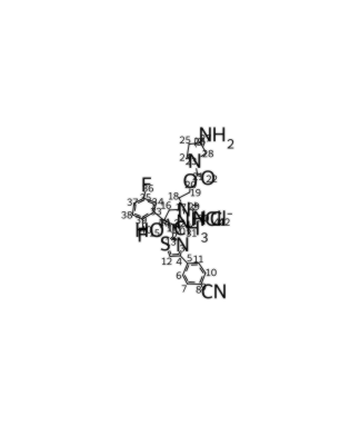 C[C@@H](c1nc(-c2ccc(C#N)cc2)cs1)[C@](O)(C[N+]1(CCOC(=O)N2CC[C@H](N)C2)C=NC=N1)c1cc(F)ccc1F.Cl.[Cl-]